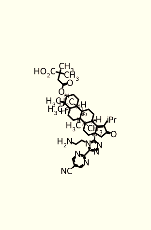 CC(C)C1=C2[C@H]3CC[C@@H]4[C@@]5(C)CC[C@H](OC(=O)CC(C)(C)C(=O)O)C(C)(C)[C@@H]5CC[C@@]4(C)[C@]3(C)CC[C@@]2(c2nnc(-c3ncc(C#N)cn3)n2CCN)CC1=O